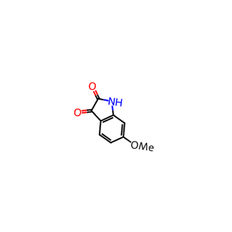 COc1ccc2c(c1)NC(=O)C2=O